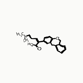 CN(C)CCC=C(C(=O)O)c1ccc2c(c1)Cc1ccccc1CO2